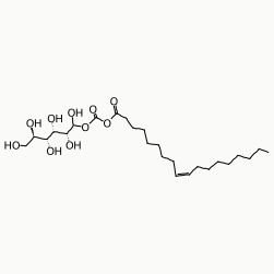 CCCCCCCC/C=C\CCCCCCCC(=O)OC(=O)OC(O)[C@H](O)[C@@H](O)[C@H](O)[C@H](O)CO